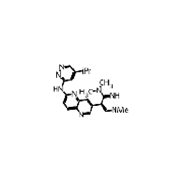 CN/C=C(\C(=N)N(C)C)c1cnc2ccc(Nc3cc(C(C)C)cnn3)nc2c1